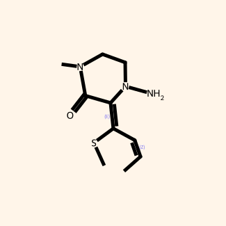 C/C=C\C(SC)=C1\C(=O)N(C)CCN1N